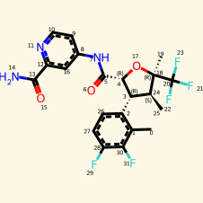 Cc1c([C@@H]2[C@H](C(=O)Nc3ccnc(C(N)=O)c3)O[C@@](C)(C(F)(F)F)[C@H]2C)ccc(F)c1F